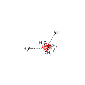 CCCCCCCCCCCCCC(OCC)=C(OCC)C(OC)OC(OC)C(OCC)=C(CCCCCCCCCCCCC)OCC